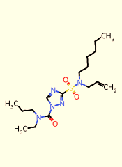 C=CCN(CCCCCC)S(=O)(=O)c1ncn(C(=O)N(CC)CCC)n1